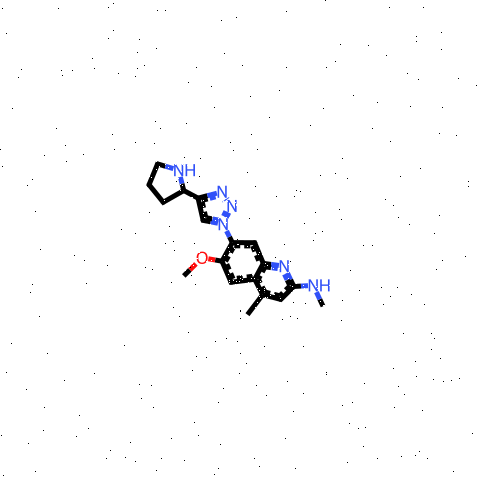 CNc1cc(C)c2cc(OC)c(-n3cc(C4CCCN4)nn3)cc2n1